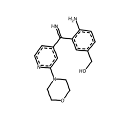 N=C(c1ccnc(N2CCOCC2)c1)c1cc(CO)ccc1N